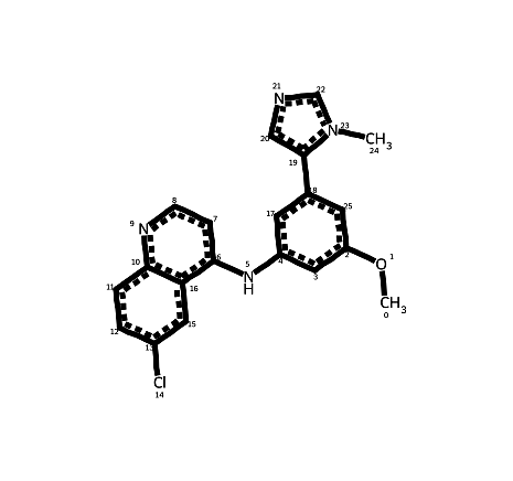 COc1cc(Nc2ccnc3ccc(Cl)cc23)cc(-c2cncn2C)c1